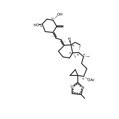 C=C1/C(=C\C=C2/CCC[C@]3(C)[C@@H]([C@H](C)CC[C@H](OC(C)=O)C4(c5nc(C)co5)CC4)CC[C@@H]23)C[C@@H](O)C[C@@H]1O